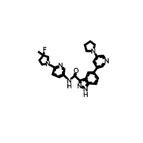 CC1(F)CCN(c2ccc(NC(=O)c3n[nH]c4ccc(-c5cncc(N6CCCC6)c5)cc34)cn2)C1